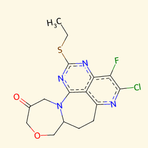 CCSc1nc2c3c(nc(Cl)c(F)c3n1)CCC1COCC(=O)CN21